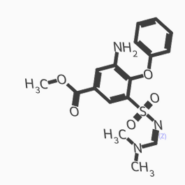 COC(=O)c1cc(N)c(Oc2ccccc2)c(S(=O)(=O)/N=C\N(C)C)c1